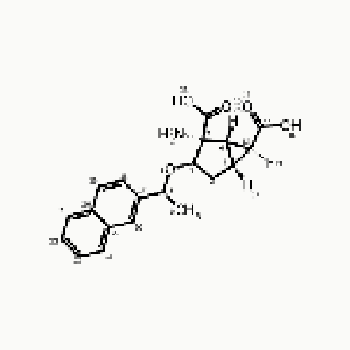 C[C@H](O[C@@H]1C[C@@H]2[C@H]([C@]1(N)C(=O)O)[C@@]2(F)C(=O)O)c1ccc2ccccc2c1